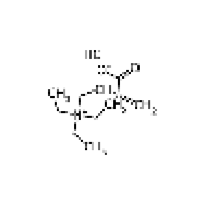 C=CC(=O)[O-].CC[N+](CC)(CC)CC.Cl